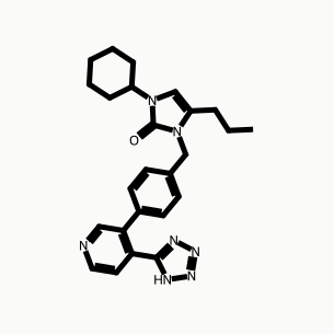 CCCc1cn(C2CCCCC2)c(=O)n1Cc1ccc(-c2cnccc2-c2nnn[nH]2)cc1